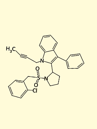 CC#CCn1c(C2CCCN2S(=O)(=O)Cc2ccccc2Cl)c(-c2ccccc2)c2ccccc21